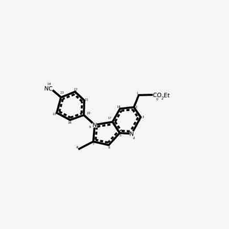 CCOC(=O)Cc1cnc2cc(C)n(-c3ccc(C#N)cc3)c2c1